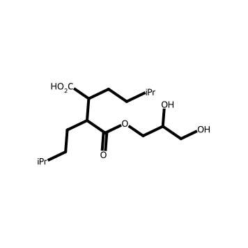 CC(C)CCC(C(=O)O)C(CCC(C)C)C(=O)OCC(O)CO